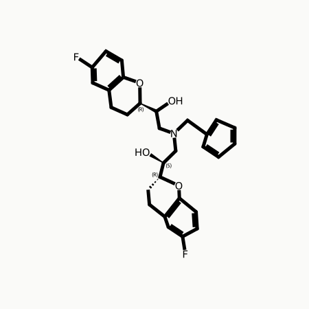 OC(CN(Cc1ccccc1)C[C@H](O)[C@H]1CCc2cc(F)ccc2O1)[C@H]1CCc2cc(F)ccc2O1